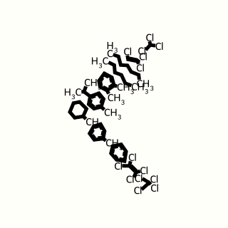 CC1CCCCC1.CCCCCC.CCCCCCC.Cc1ccc(C(C)C)cc1.Cc1ccccc1.Cc1ccccc1C.ClC(Cl)(Cl)Cl.ClC(Cl)=C(Cl)Cl.ClC(Cl)Cl.ClC=C(Cl)Cl.c1ccccc1